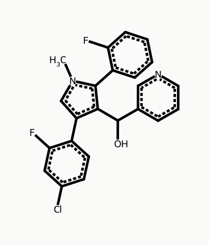 Cn1cc(-c2ccc(Cl)cc2F)c(C(O)c2cccnc2)c1-c1ccccc1F